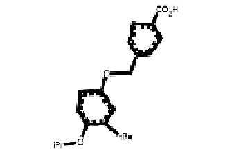 CC(C)Oc1ccc(OCc2ccc(C(=O)O)cc2)cc1C(C)(C)C